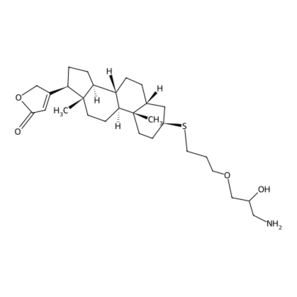 C[C@]12CC[C@H](SCCCOCC(O)CN)C[C@H]1CC[C@@H]1[C@@H]2CC[C@]2(C)[C@@H](C3=CC(=O)OC3)CC[C@@H]12